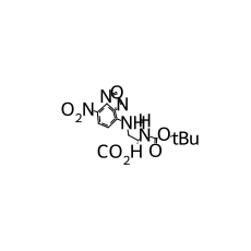 CC(C)(C)OC(=O)N[C@@H](CNc1ccc([N+](=O)[O-])c2nonc12)C(=O)O